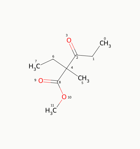 CCC(=O)C(C)(CC)C(=O)OC